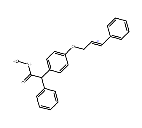 O=C(NO)C(c1ccccc1)c1ccc(OC/C=C/c2ccccc2)cc1